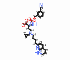 N#Cc1cccc(COC(=O)NC(CCN(CCCCc2ccc3c(n2)NCCC3)C2CC2)C(=O)O)c1